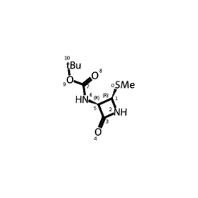 CS[C@H]1NC(=O)[C@H]1NC(=O)OC(C)(C)C